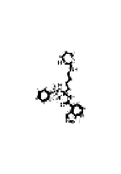 O=C(NC(CCCCNC1N=CCCN1)(NS(=O)(=O)c1ccccc1)C(=O)O)c1cccc2[nH]ncc12